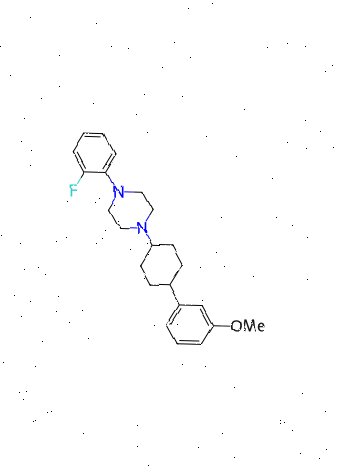 COc1cccc(C2CCC(N3CCN(c4ccccc4F)CC3)CC2)c1